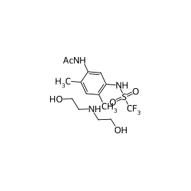 CC(=O)Nc1cc(NS(=O)(=O)C(F)(F)F)c(C)cc1C.OCCNCCO